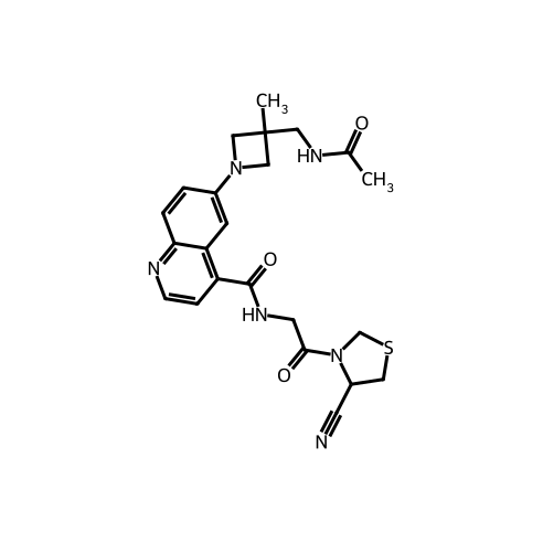 CC(=O)NCC1(C)CN(c2ccc3nccc(C(=O)NCC(=O)N4CSCC4C#N)c3c2)C1